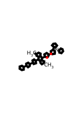 Cc1ccc2c(-c3ccc(-c4ccc5c(c4)c4ccccc4n5-c4ccccc4)cc3)c3cc(C)ccc3c(-c3ccc(-c4ccc(-c5ccccc5)cc4)cc3)c2c1